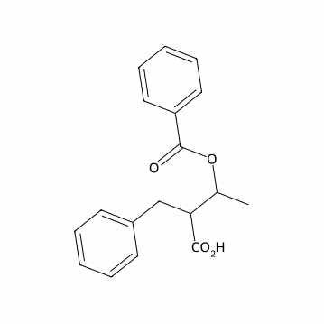 CC(OC(=O)c1ccccc1)C(Cc1ccccc1)C(=O)O